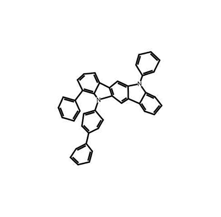 c1ccc(-c2ccc(-n3c4cc5c6ccccc6n(-c6ccccc6)c5cc4c4cccc(-c5ccccc5)c43)cc2)cc1